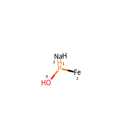 O[PH][Fe].[NaH]